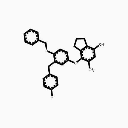 Cc1cc(O)c2c(c1Oc1ccc(OCc3ccccc3)c(Cc3ccc(F)cc3)c1)CCC2